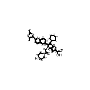 Cc1nc(C)c(-c2ccc3cc(-c4c(C5CCCCC5)c5sc(C(=O)O)cc5n4CC(=O)N4CCNCC4)ccc3n2)s1